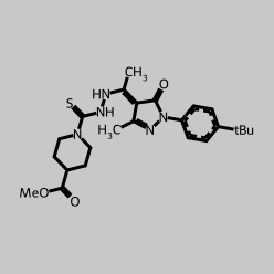 COC(=O)C1CCN(C(=S)NNC(C)=C2C(=O)N(c3ccc(C(C)(C)C)cc3)N=C2C)CC1